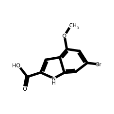 COc1cc(Br)cc2[nH]c(C(=O)O)cc12